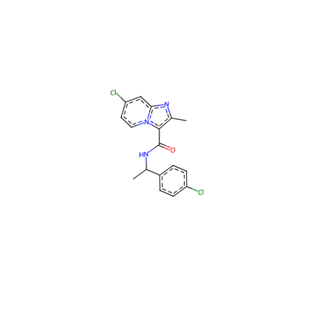 Cc1nc2cc(Cl)ccn2c1C(=O)NC(C)c1ccc(Cl)cc1